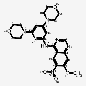 COc1cc2ncnc(Nc3cc(N4CCOCC4)cc(N4CCOCC4)n3)c2cc1[N+](=O)[O-]